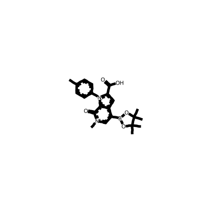 Cc1ccc(-n2c(C(=O)O)cc3c(B4OC(C)(C)C(C)(C)O4)cn(C)c(=O)c32)cc1